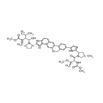 COC(=O)NC(C(C)C)C(O)N1[C@@H](C)CC[C@H]1c1nc2ccc3cc4c(cc3c2[nH]1)OCc1cc(-c2cnc(C3C[C@H](C)CN3C(=O)C(NC(=O)OC)[C@@H](C)OC)[nH]2)ccc1-4